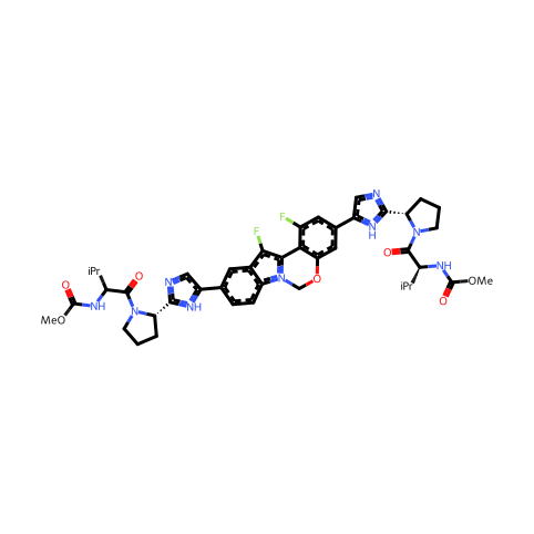 COC(=O)NC(C(=O)N1CCC[C@H]1c1ncc(-c2ccc3c(c2)c(F)c2n3COc3cc(-c4cnc([C@@H]5CCCN5C(=O)[C@@H](NC(=O)OC)C(C)C)[nH]4)cc(F)c3-2)[nH]1)C(C)C